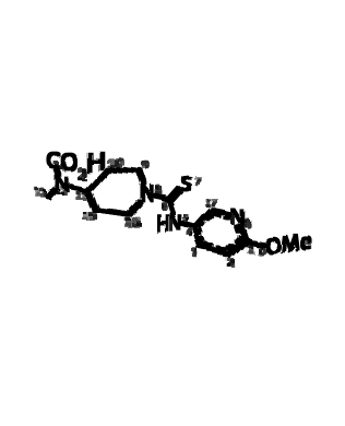 COc1ccc(NC(=S)N2CCC(N(C)C(=O)O)CC2)cn1